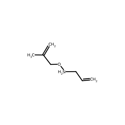 C=CC[SiH2]OCC(=C)C